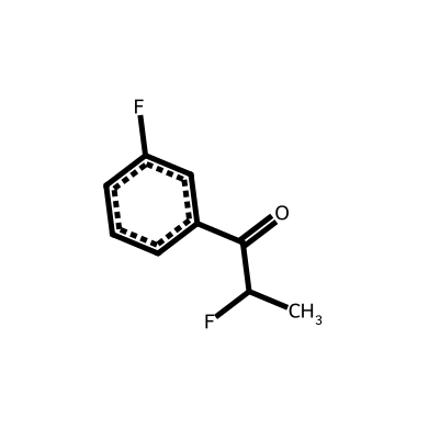 CC(F)C(=O)c1cccc(F)c1